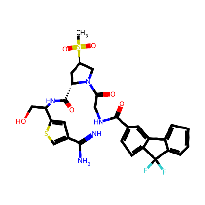 CS(=O)(=O)[C@@H]1C[C@@H](C(=O)NC(CO)c2cc(C(=N)N)cs2)N(C(=O)CNC(=O)c2ccc3c(c2)-c2ccccc2C3(F)F)C1